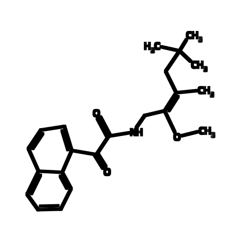 CO/C(CNC(=O)C(=O)c1cccc2ccccc12)=C(\C)CC(C)(C)C